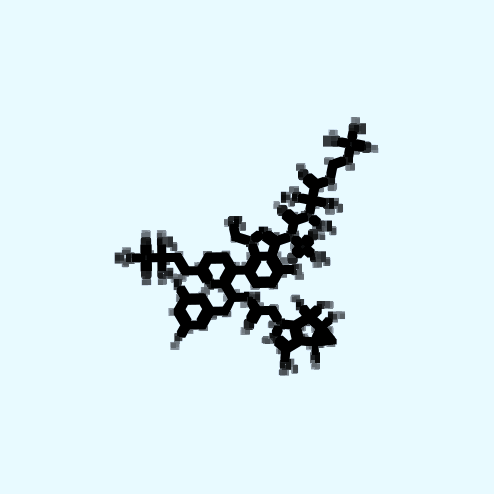 CN(C(=O)N(c1nn(CC(F)(F)F)c2c(-c3ccc(CCC(C)(C)S(C)(=O)=O)nc3[C@H](Cc3cc(F)cc(F)c3)NC(=O)Cn3nc(C(F)(F)F)c4c3C(F)(F)[C@@H]3C[C@H]43)ccc(Cl)c12)S(C)(=O)=O)C(C)(C)C(=O)OCOP(=O)(O)O